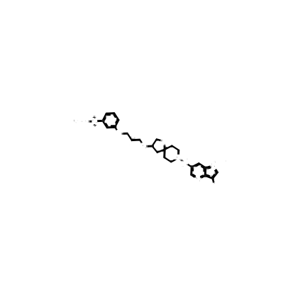 CNS(=O)(=O)c1cccc(OC[C@@H](O)CNC2COC3(CCN(S(=O)(=O)c4cnc5c(Cl)cn(C)c5c4)CC3)C2)c1